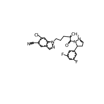 C=C(CCCn1ncc2cc(C#N)c(Cl)cc21)C(=O)N1N=CCC1c1cc(F)cc(F)c1